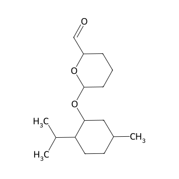 CC1CCC(C(C)C)C(OC2CCCC(C=O)O2)C1